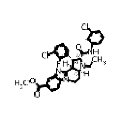 CCN1[C@H]2CCn3c(nc4cc(C(=O)OC)ccc43)[C@H]2[C@H](c2cccc(Cl)c2F)[C@@H]1C(=O)Nc1cccc(Cl)c1